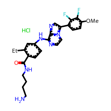 CCc1cc(Nc2nccn3c(-c4ccc(OC)c(F)c4F)cnc23)ccc1C(=O)NCCCCN.Cl